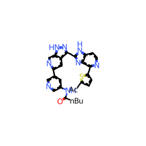 CCCCC(=O)Nc1cncc(-c2cc3c(-c4nc5c(-c6ccc(C(C)=O)s6)nccc5[nH]4)n[nH]c3cn2)c1